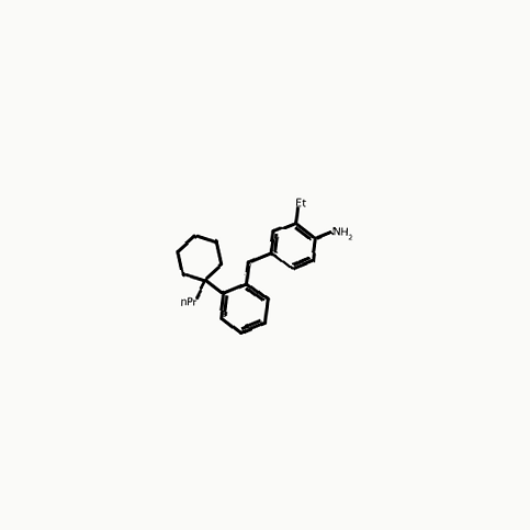 CCCC1(c2ccccc2Cc2ccc(N)c(CC)c2)CCCCC1